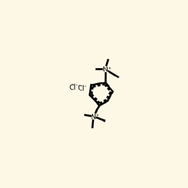 C[N+](C)(C)c1ccc([N+](C)(C)C)cc1.[Cl-].[Cl-]